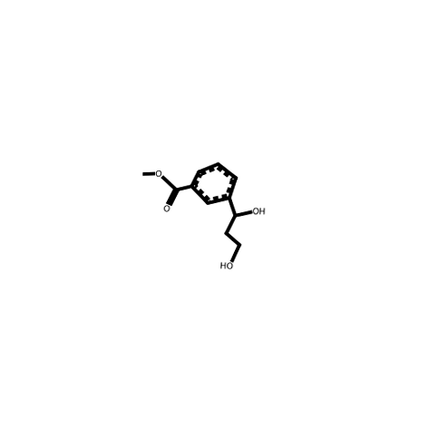 COC(=O)c1cccc(C(O)CCO)c1